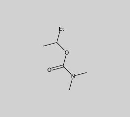 CCC(C)OC(=O)N(C)C